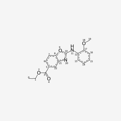 CCOC(=O)c1ccc2oc(Nc3ccccc3OC)nc2c1